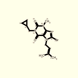 CC(C)=CCn1c(Br)nc2c1c(=O)n(CC1CC1)c(=O)n2C